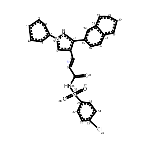 O=C(/C=C/c1cn(-c2ccccc2)nc1-c1ccc2ccccc2c1)NS(=O)(=O)c1ccc(Cl)cc1